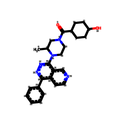 CC1CN(C(=O)C2CCC(O)CC2)CCN1c1nnc(-c2ccccc2)c2ccncc12